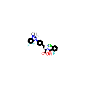 CN1CN(c2ccc(CC[C@H](NC(=O)c3c(F)cccc3Cl)C(=O)O)cc2)c2c1ccc(F)c2F